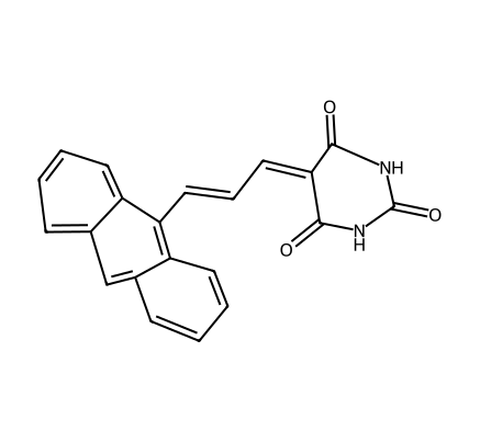 O=C1NC(=O)C(=C/C=C/c2c3ccccc3cc3ccccc23)C(=O)N1